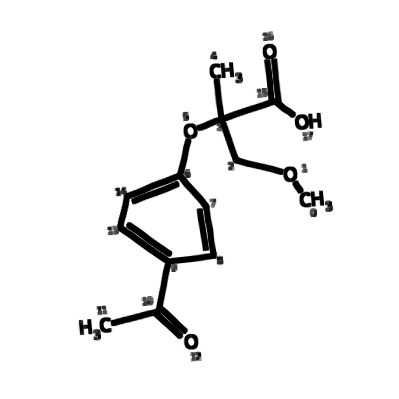 COCC(C)(Oc1ccc(C(C)=O)cc1)C(=O)O